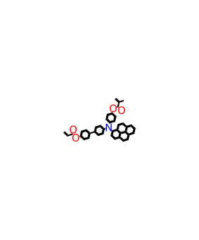 C=CC(=O)Oc1ccc(-c2ccc(N(c3ccc(OC(=O)C(=C)C)cc3)c3ccc4ccc5cccc6ccc3c4c56)cc2)cc1